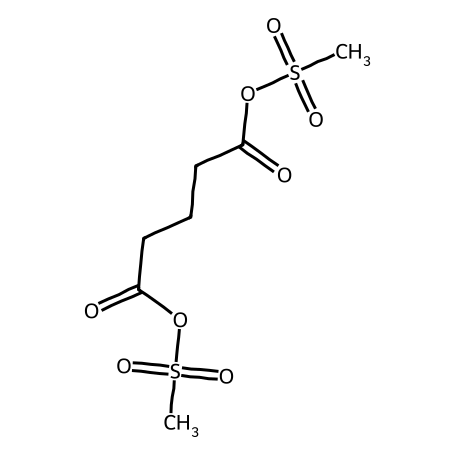 CS(=O)(=O)OC(=O)CCCC(=O)OS(C)(=O)=O